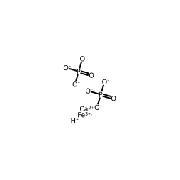 O=P([O-])([O-])[O-].O=P([O-])([O-])[O-].[Ca+2].[Fe+3].[H+]